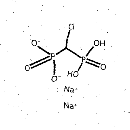 O=P([O-])([O-])C(Cl)P(=O)(O)O.[Na+].[Na+]